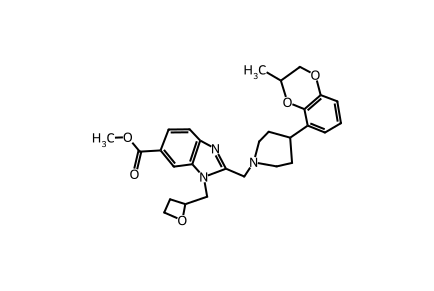 COC(=O)c1ccc2nc(CN3CCC(c4cccc5c4OC(C)CO5)CC3)n(CC3CCO3)c2c1